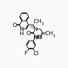 C[C@@H](O)CN(C(=O)Nc1ccc(F)c(Cl)c1)[C@@H](C)c1c[nH]c(=O)c2ccccc12